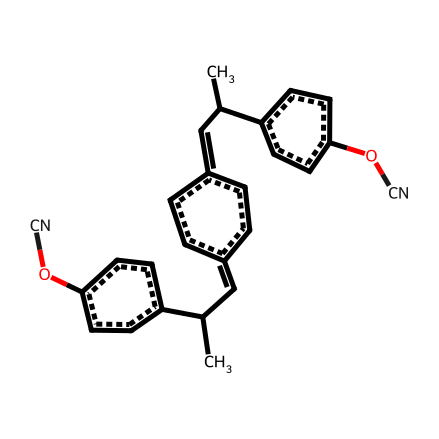 CC(C=c1ccc(=CC(C)c2ccc(OC#N)cc2)cc1)c1ccc(OC#N)cc1